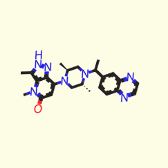 Cc1[nH]nc2c(N3C[C@@H](C)N(C(C)c4ccc5nccnc5c4)C[C@@H]3C)cc(=O)n(C)c12